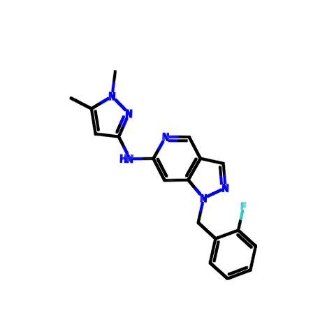 Cc1cc(Nc2cc3c(cn2)cnn3Cc2ccccc2F)nn1C